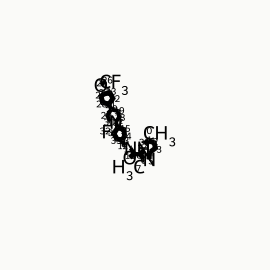 Cc1ccc2nc(C)c(C(=O)NCc3ccc(N4CCC(c5ccc(OC(F)(F)F)cc5)CC4)c(F)c3)n2c1